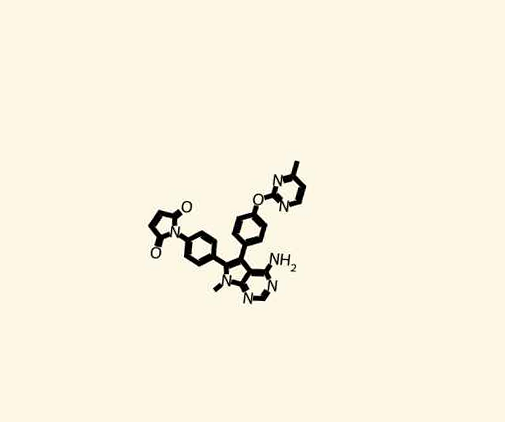 Cc1ccnc(Oc2ccc(-c3c(-c4ccc(N5C(=O)C=CC5=O)cc4)n(C)c4ncnc(N)c34)cc2)n1